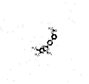 CCc1cc(NC(=O)N2CCN(c3cccc(OC(C)=O)c3)CC2)c(OC)nc1C